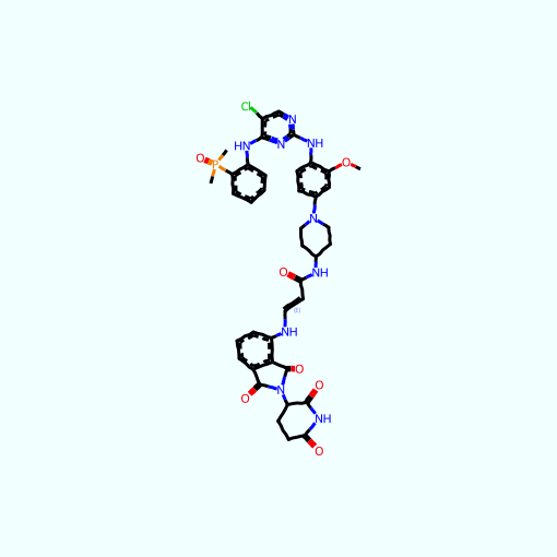 COc1cc(N2CCC(NC(=O)/C=C/Nc3cccc4c3C(=O)N(C3CCC(=O)NC3=O)C4=O)CC2)ccc1Nc1ncc(Cl)c(Nc2ccccc2P(C)(C)=O)n1